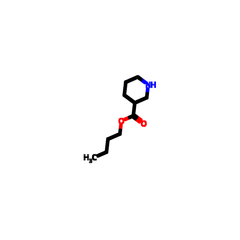 CCCCOC(=O)C1CCCNC1